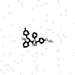 CCCCOc1ccc(-c2nnc(-c3cc(-c4ccc(C)cc4)[n+]([O-])c4ccccc34)n2-c2ccccc2)cc1